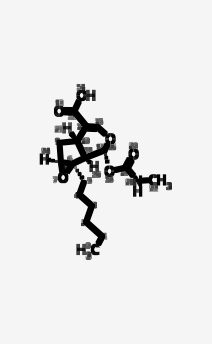 CCCCCC[C@]12O[C@H]1C[C@@H]1C(C(=O)O)=CO[C@H](OC(=O)NC)[C@H]12